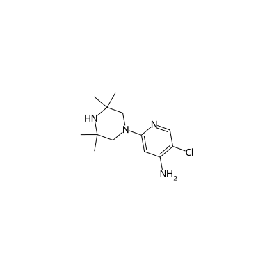 CC1(C)CN(c2cc(N)c(Cl)cn2)CC(C)(C)N1